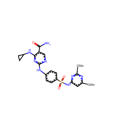 COc1cc(NS(=O)(=O)c2ccc(Nc3ncc(C(N)=O)c(NC4CC4)n3)cc2)nc(OC)n1